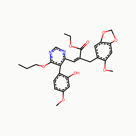 CCCOc1ncnc(C=C(Cc2cc3c(cc2OC)OCO3)C(=O)OCC)c1-c1ccc(OC)cc1O